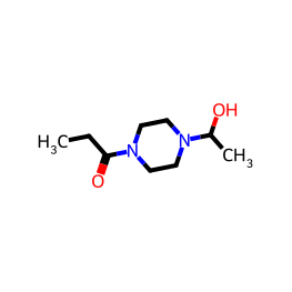 CCC(=O)N1CCN(C(C)O)CC1